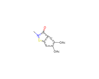 CC(=O)Oc1cc2sn(C)c(=O)c2cc1OC(C)=O